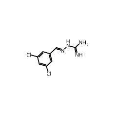 N=C(N)N/N=C/c1cc(Cl)cc(Cl)c1